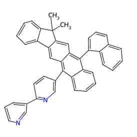 CC1(C)c2ccccc2-c2cc3c(-c4ccc(-c5cccnc5)nc4)c4ccccc4c(-c4cccc5ccccc45)c3cc21